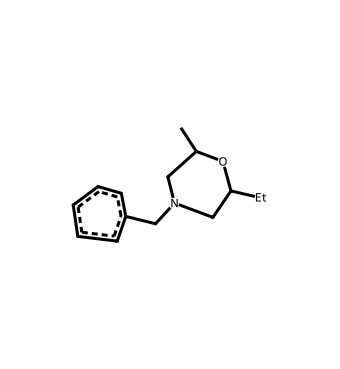 CCC1CN(Cc2ccccc2)CC(C)O1